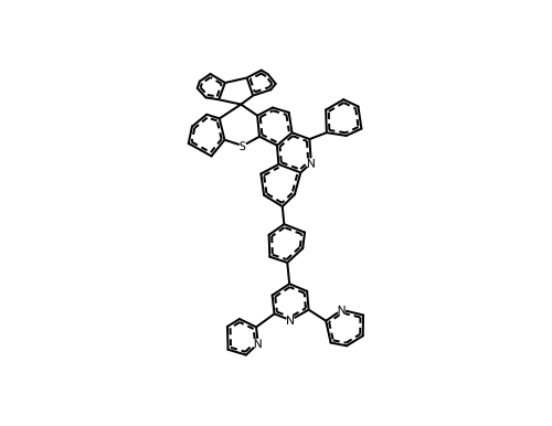 c1ccc(-c2nc3cc(-c4ccc(-c5cc(-c6ccccn6)nc(-c6ccccn6)c5)cc4)ccc3c3c4c(ccc23)C2(c3ccccc3S4)c3ccccc3-c3ccccc32)cc1